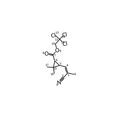 CC(C#N)=CC1C(C(=O)OCC(Cl)(Cl)Cl)C1(C)C